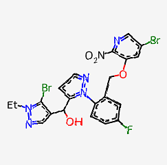 CCn1ncc(C(O)c2ccnn2-c2ccc(F)cc2COc2cc(Br)cnc2[N+](=O)[O-])c1Br